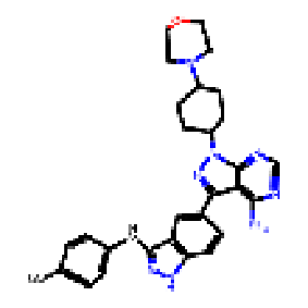 CC(C)(C)c1ccc([AsH]c2n[nH]c3ccc(-c4nn(C5CCC(N6CCOCC6)CC5)c5ncnc(N)c45)cc23)cc1